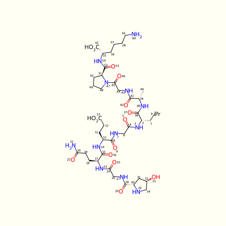 CC(C)C[C@H](NC(=O)CNC(=O)[C@H](CCC(=O)O)NC(=O)[C@H](CCC(N)=O)NC(=O)CNC(=O)[C@@H]1C[C@@H](O)CN1)C(=O)N[C@@H](C)C(=O)NCC(=O)N1CCC[C@H]1C(=O)N[C@@H](CCCCN)C(=O)O